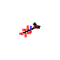 C[Si](C)(C)O[Si](C)(CCCNC(=O)[C@H](O)[C@@H](O)[C@H](O)[C@H](O)CO)O[Si](C)(C)C